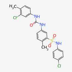 Cc1ccc(NC(=O)Nc2ccc(C)c(S(=O)(=O)Nc3ccc(Cl)cc3)c2)cc1Cl